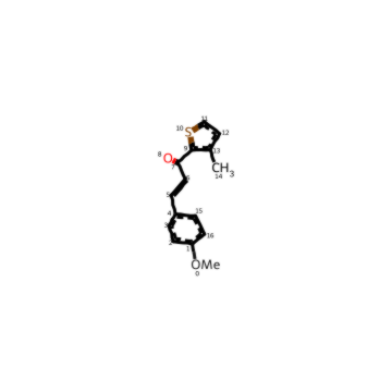 COc1ccc(C=CC(=O)c2sccc2C)cc1